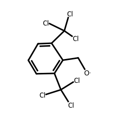 [O]Cc1c(C(Cl)(Cl)Cl)cccc1C(Cl)(Cl)Cl